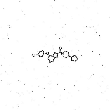 O=C(c1cc2c(Oc3ccc(Cl)cc3)cncc2s1)N1CCN(c2ccccc2)CC1